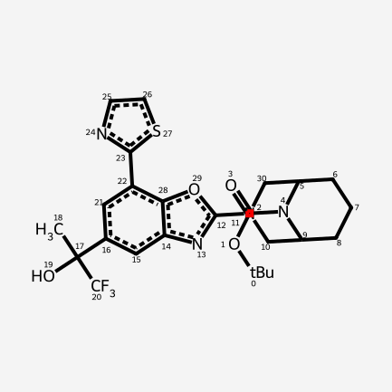 CC(C)(C)OC(=O)N1C2CCCC1CN(c1nc3cc(C(C)(O)C(F)(F)F)cc(-c4nccs4)c3o1)C2